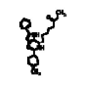 CCC(=O)CCCCC[C@H](NC(=O)C1CCN(C)CC1)c1ncc(-c2ccccc2)[nH]1